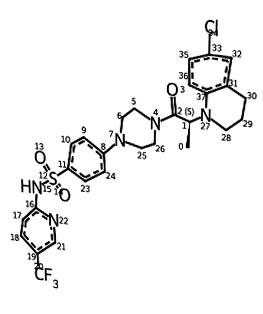 C[C@@H](C(=O)N1CCN(c2ccc(S(=O)(=O)Nc3ccc(C(F)(F)F)cn3)cc2)CC1)N1CCCc2cc(Cl)ccc21